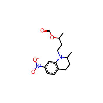 CC(CCN1c2cc([N+](=O)[O-])ccc2CCC1C)OC=O